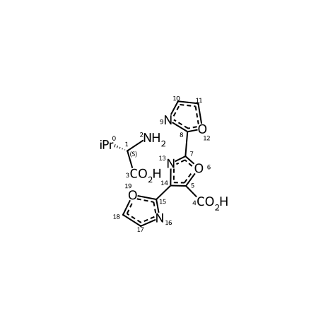 CC(C)[C@H](N)C(=O)O.O=C(O)c1oc(-c2ncco2)nc1-c1ncco1